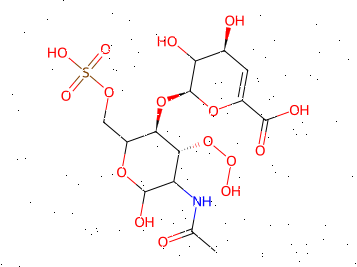 CC(=O)NC1C(O)OC(COS(=O)(=O)O)[C@@H](O[C@@H]2OC(C(=O)O)=C[C@H](O)C2O)[C@@H]1OOO